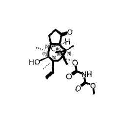 C=C[C@]1(C)C[C@@H](OC(=O)NC(=O)OC)[C@]2(C)C(C)CC[C@]3(CCC(=O)[C@H]32)[C@@H](C)[C@@H]1O